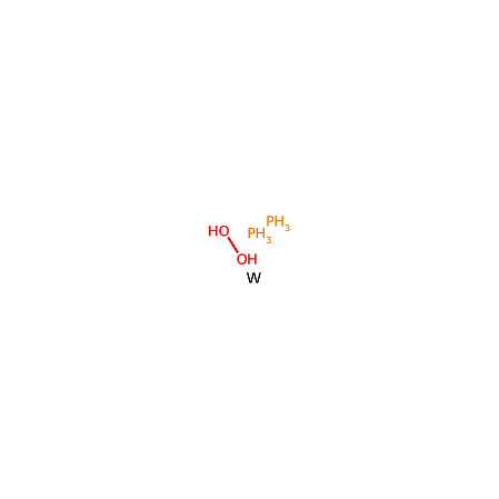 OO.P.P.[W]